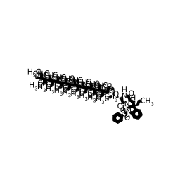 CCC[C@]12C[C@H]3C(=O)N[C@@H](CO[Si](CC)(CC)C(C)(CC)C(C)(CC)C(C)(CC)C(C)(CC)C(C)(CC)C(C)(CC)C(C)(CC)C(C)(CC)C(C)(CC)C(C)(CC)C(C)(CC)C(C)(CC)C(C)(CC)C(C)(CC)C(C)(CC)C(C)(CC)C(C)(CC)CC)C(=O)N3[C@H]1N(S(=O)(=O)c1ccccc1)c1ccccc12